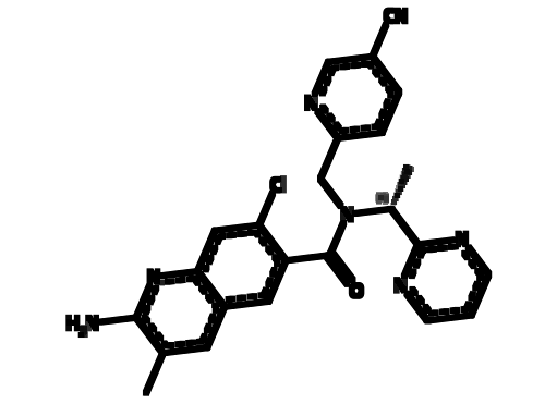 Cc1cc2cc(C(=O)N(Cc3ccc(C#N)cn3)[C@H](C)c3ncccn3)c(Cl)cc2nc1N